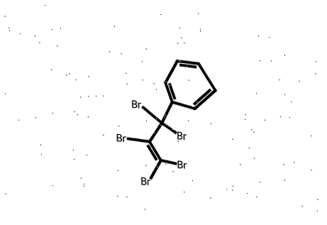 BrC(Br)=C(Br)C(Br)(Br)c1ccccc1